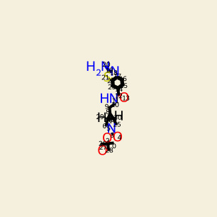 CC1(OC(=O)N2C[C@@H]3C(CCNC(=O)c4ccc5nc(N)sc5c4)[C@@H]3C2)COC1